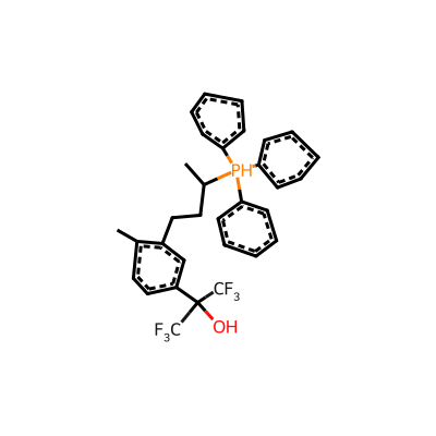 Cc1ccc(C(O)(C(F)(F)F)C(F)(F)F)cc1CCC(C)[PH](c1ccccc1)(c1ccccc1)c1ccccc1